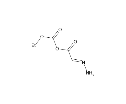 CCOC(=O)OC(=O)C=NN